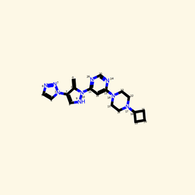 C=C1C(n2ccnn2)=CNN1c1cc(N2CCN(C3CCC3)CC2)ncn1